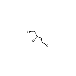 CC(C)CC(O)C=CCl